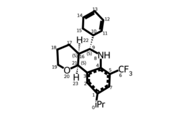 CC(C)c1cc2c(c(C(F)(F)F)c1)N[C@@H](C1C=CC=CC1)[C@@H]1CCCO[C@H]21